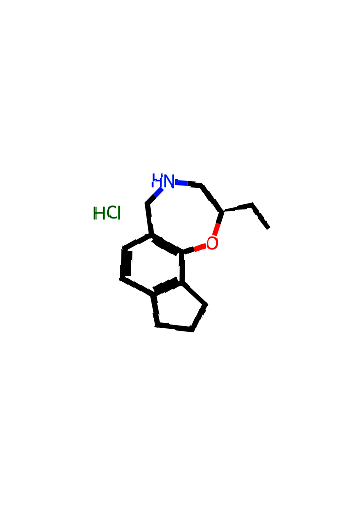 CC[C@@H]1CNCc2ccc3c(c2O1)CCC3.Cl